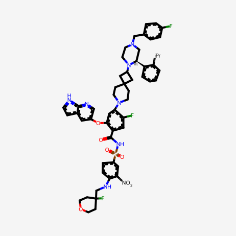 CC(C)c1ccccc1[C@@H]1CN(Cc2ccc(F)cc2)CCN1C1CC2(CCN(c3cc(Oc4cnc5[nH]ccc5c4)c(C(=O)NS(=O)(=O)c4ccc(NCC5(F)CCOCC5)c([N+](=O)[O-])c4)cc3F)CC2)C1